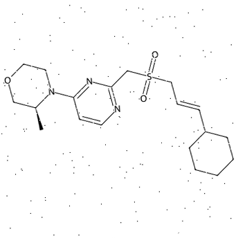 C[C@H]1COCCN1c1ccnc(CS(=O)(=O)CC=CC2CCCCC2)n1